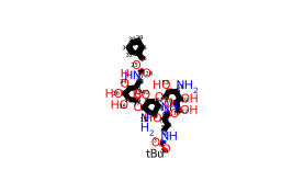 CC(C)(C)OC(=O)NCC[C@H](O)C(=O)N[C@@H]1CC(N)[C@@H](O[C@H]2OC(CNC(=O)OCc3ccccc3)[C@@H](O)[C@H](O)C2O)[C@H](O)C1O[C@H]1OC(CO)[C@@H](O)[C@H](N)C1O